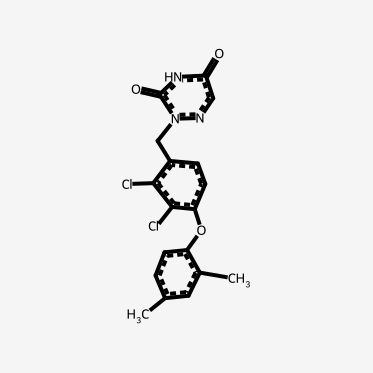 Cc1ccc(Oc2ccc(Cn3ncc(=O)[nH]c3=O)c(Cl)c2Cl)c(C)c1